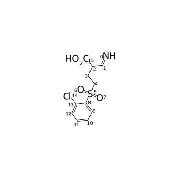 N=CC(CCS(=O)(=O)c1ccccc1Cl)C(=O)O